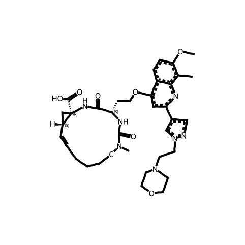 COc1ccc2c(OCC[C@@H]3NC(=O)N(C)CCCCC=C[C@@H]4C[C@@]4(C(=O)O)NC3=O)cc(-c3cnn(CCN4CCOCC4)c3)nc2c1C